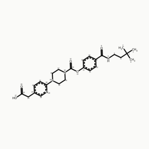 CC(C)(C)CCNC(=O)c1ccc(OC(=O)N2CCN(c3ccc(CC(=O)O)cn3)CC2)cc1